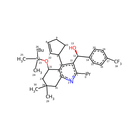 CC(C)c1nc2c(c(C3C=CCC3)c1[C@@H](O)c1ccc(C(F)(F)F)cc1)C(O[Si](C)(C)C(C)(C)C)CC(C)(C)C2